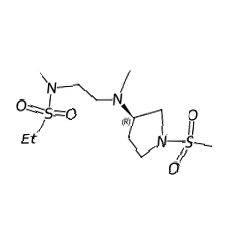 CCS(=O)(=O)N(C)CCN(C)[C@@H]1CCN(S(C)(=O)=O)C1